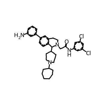 Nc1cccc(-c2ccc3c(c2)CCN(CC(=O)Nc2cc(Cl)cc(Cl)c2)C3C2CCN(C3CCCCCC3)CC2)c1